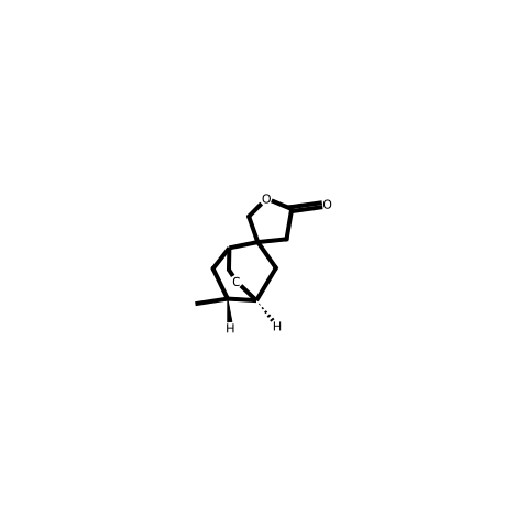 C[C@@H]1CC2CC[C@H]1CC21COC(=O)C1